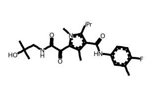 Cc1cc(NC(=O)c2c(C)c(C(=O)C(=O)NCC(C)(C)O)n(C)c2C(C)C)ccc1F